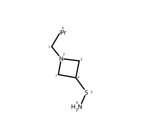 CC(C)CN1CC(SN)C1